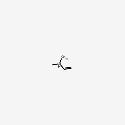 C=C[SiH](C)[SiH3]